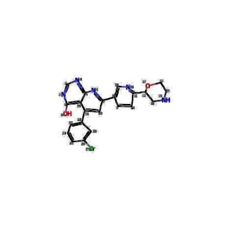 Oc1ncnc2nc(-c3ccc(C4CNCCO4)nc3)cc(-c3cccc(Br)c3)c12